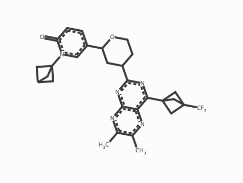 Cc1nc2nc(C3CCOC(c4ccc(=O)n(C56CC(C5)C6)c4)C3)nc(C34CC(C(F)(F)F)(C3)C4)c2nc1C